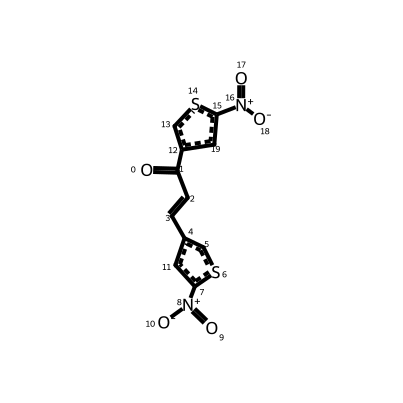 O=C(C=Cc1csc([N+](=O)[O-])c1)c1csc([N+](=O)[O-])c1